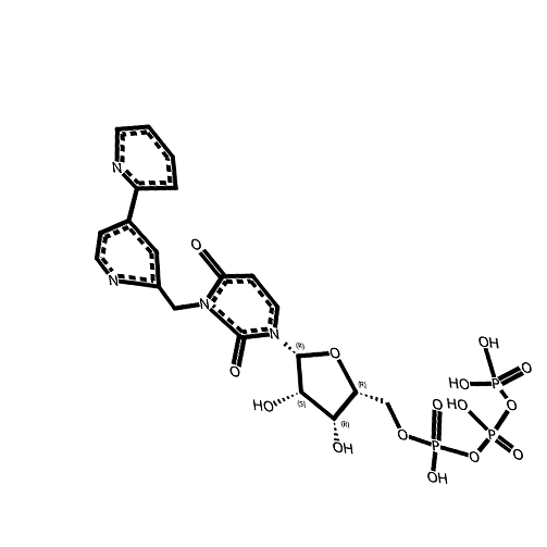 O=c1ccn([C@@H]2O[C@H](COP(=O)(O)OP(=O)(O)OP(=O)(O)O)[C@H](O)[C@@H]2O)c(=O)n1Cc1cc(-c2ccccn2)ccn1